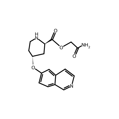 NC(=O)COC(=O)[C@H]1C[C@H](Oc2ccc3cnccc3c2)CCN1